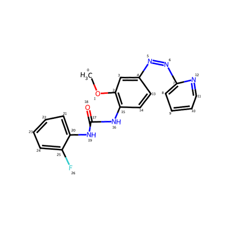 COc1cc(/N=N\c2ccccn2)ccc1NC(=O)Nc1ccccc1F